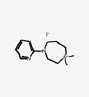 C[N+]1(C)CCCN(c2ccccn2)CC1.[I-]